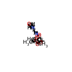 CO[C@@H]1[C@H](OC(=O)N2CC(CCN3C[C@H]4COC[C@H]4C3)C2)CC[C@]2(CO2)[C@H]1[C@@]1(C)O[C@@H]1CC=C(C)C